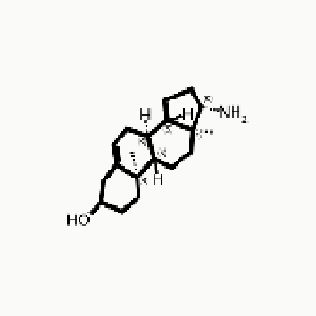 C[C@]12CC[C@H]3[C@@H](CC=C4CC(O)CC[C@@]43C)[C@@H]1CC[C@@H]2N